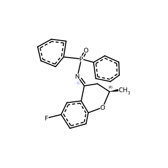 C[C@@H]1C/C(=N\P(=O)(c2ccccc2)c2ccccc2)c2cc(F)ccc2O1